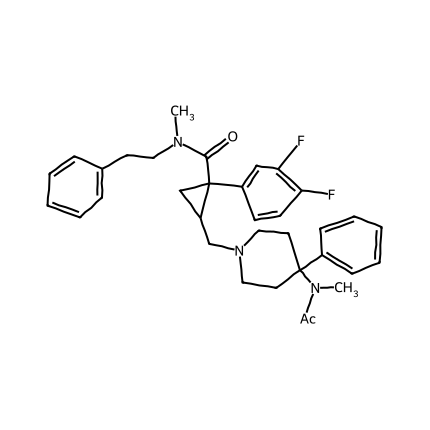 CC(=O)N(C)C1(c2ccccc2)CCN(CC2CC2(C(=O)N(C)CCc2ccccc2)c2ccc(F)c(F)c2)CC1